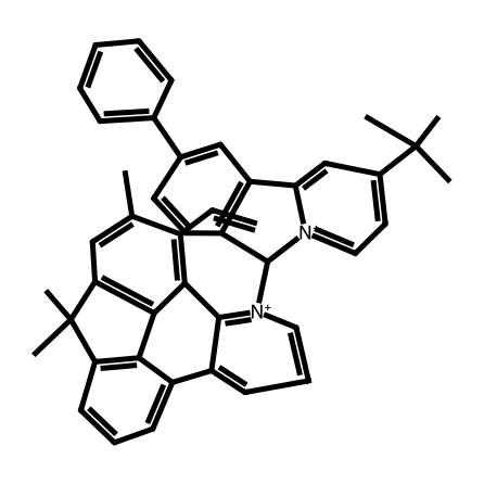 C=Cc1c(C)cc2c3c4c(cccc4c4ccc[n+](C5c6ccc(-c7ccccc7)cc6-c6cc(C(C)(C)C)cc[n+]65)c4c13)C2(C)C